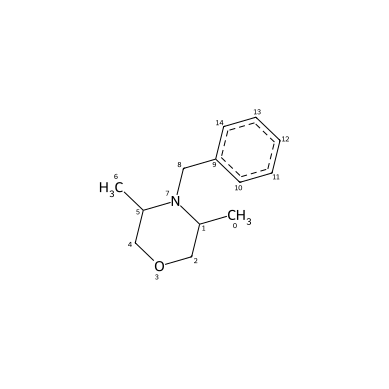 CC1COCC(C)N1Cc1ccccc1